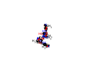 Cc1nnc([C@H](C(=O)N2C[C@H](OCc3nnc([C@H](C(=O)N4C[C@H](O)C[C@H]4C(=O)NCc4ccc(-c5scnc5C)cc4)C(C)C)[nH]3)C[C@H]2C(=O)NCc2ccc(-c3scnc3C)cc2)C(C)C)o1